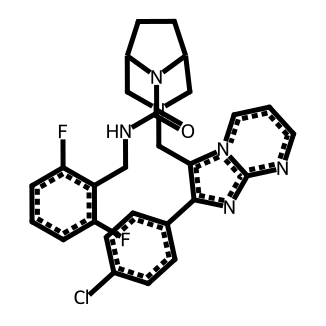 O=C(NCc1c(F)cccc1F)N1C2CCC1CN(Cc1c(-c3ccc(Cl)cc3)nc3ncccn13)C2